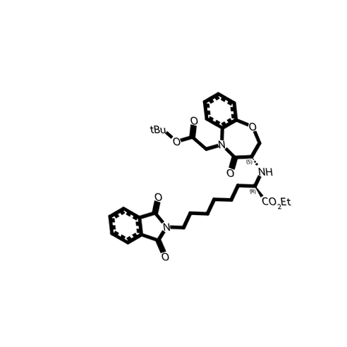 CCOC(=O)[C@@H](CCCCCCN1C(=O)c2ccccc2C1=O)N[C@H]1COc2ccccc2N(CC(=O)OC(C)(C)C)C1=O